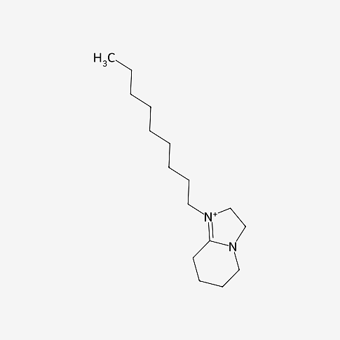 CCCCCCCCC[N+]1=C2CCCCN2CC1